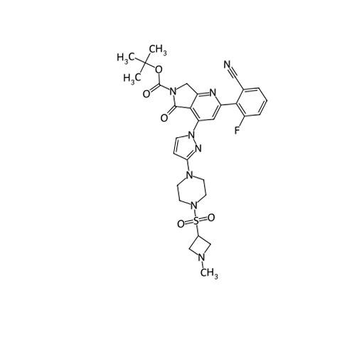 CN1CC(S(=O)(=O)N2CCN(c3ccn(-c4cc(-c5c(F)cccc5C#N)nc5c4C(=O)N(C(=O)OC(C)(C)C)C5)n3)CC2)C1